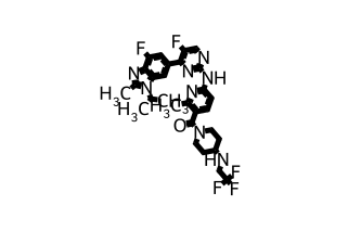 Cc1nc(Nc2ncc(F)c(-c3cc(F)c4nc(C)n(C(C)C)c4c3)n2)ccc1C(=O)N1CCC(NCC(F)(F)F)CC1